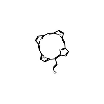 N#CC=Cc1c2nc(cc3ccc(cc4nc(cc5ccc1[nH]5)C=C4)[nH]3)C=C2